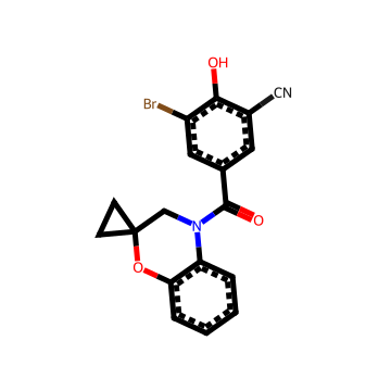 N#Cc1cc(C(=O)N2CC3(CC3)Oc3ccccc32)cc(Br)c1O